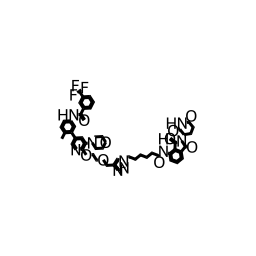 Cc1ccc(NC(=O)c2cccc(C(F)(F)F)c2)cc1-c1cnc(OCCOCc2cn(CCCCCC(=O)Nc3cccc4c3C(=O)N(C3CCC(=O)NC3=O)C4=O)nn2)c(N2CCOCC2)c1